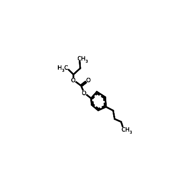 CCCCc1ccc(OC(=O)OC(C)CC)cc1